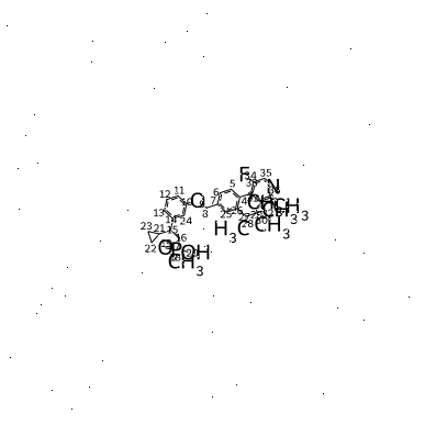 Cc1cc(-c2ccc(COc3cccc([C@@H](CP(C)(=O)O)C4CC4)c3)cc2[C@@H](C)C(C)(C)C)c(F)cn1